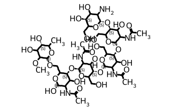 COC1C(O)[C@H](O)C(C)O[C@H]1OCC1O[C@@H](O)C(NC(C)=O)C(O)[C@@H]1O[C@@H]1OC(CO)[C@@H](O[C@@H]2OC(CO)[C@@H](O[C@@H]3OC(CO)[C@@H](O[C@@H]4OC(CO)[C@@H](O)C(O)C4N)C(O)C3NC(C)=O)C(O)C2NC(C)=O)C(O)C1NC(C)=O